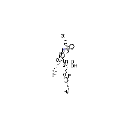 Cc1cc(N(C(=O)CCCC[Si](C)(C)C(C)(C)C)c2nc(C(=O)O)c(CCCOc3ccc(C#CCN(C)C)cc3F)s2)nnc1/N=c1\sc2ccccc2n1COCC[Si](C)(C)C